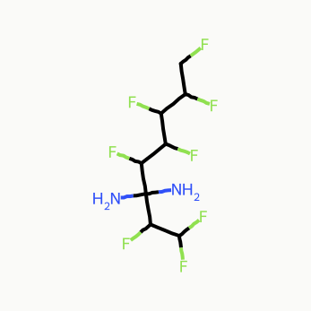 NC(N)(C(F)C(F)F)C(F)C(F)C(F)C(F)CF